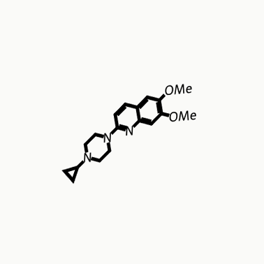 COc1cc2ccc(N3CCN(C4CC4)CC3)nc2cc1OC